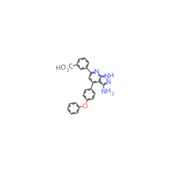 Nc1n[nH]c2nc(-c3cccc(C(=O)O)c3)cc(-c3ccc(Oc4ccccc4)cc3)c12